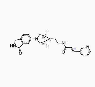 O=C(/C=C/c1cccnc1)NCC[C@@H]1[C@H]2CN(c3ccc4c(c3)C(=O)NC4)C[C@@H]12